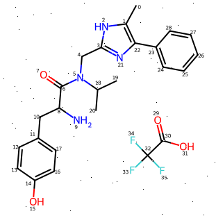 Cc1[nH]c(CN(C(=O)C(N)Cc2ccc(O)cc2)C(C)C)nc1-c1ccccc1.O=C(O)C(F)(F)F